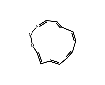 C1=C\C=C\C=C\C=C\OO\N=C/C=C/1